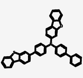 c1ccc(-c2ccc(N(c3ccc(-c4ccc5c(c4)sc4ccccc45)cc3)c3ccc4c(c3)oc3ccccc34)cc2)cc1